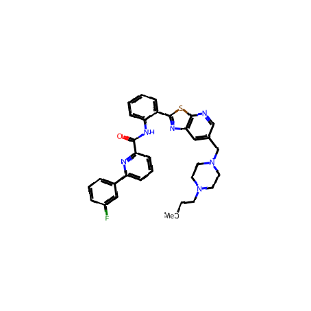 COCCN1CCN(Cc2cnc3sc(-c4ccccc4NC(=O)c4cccc(-c5cccc(F)c5)n4)nc3c2)CC1